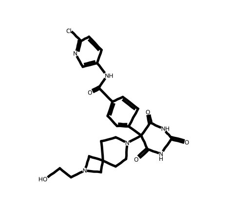 O=C1NC(=O)C(c2ccc(C(=O)Nc3ccc(Cl)nc3)cc2)(N2CCC3(CC2)CN(CCO)C3)C(=O)N1